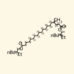 CCCCC(CC)COC(=O)CCCCCCCCCCCCCCC(C)CCC(=O)OCC(CC)CCCC